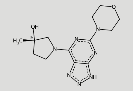 C[C@]1(O)CCN(c2nc(N3CCOCC3)nc3[nH]nnc23)C1